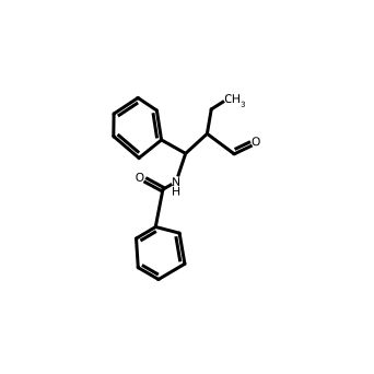 CCC(C=O)C(NC(=O)c1ccccc1)c1ccccc1